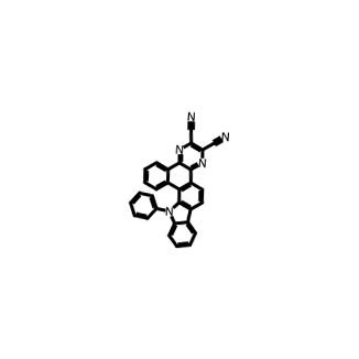 N#Cc1nc2c3ccccc3c3c(ccc4c5ccccc5n(-c5ccccc5)c43)c2nc1C#N